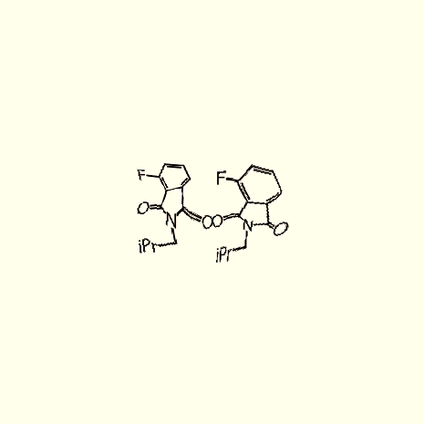 CC(C)CN1C(=O)c2cccc(F)c2C1=O.CC(C)CN1C(=O)c2cccc(F)c2C1=O